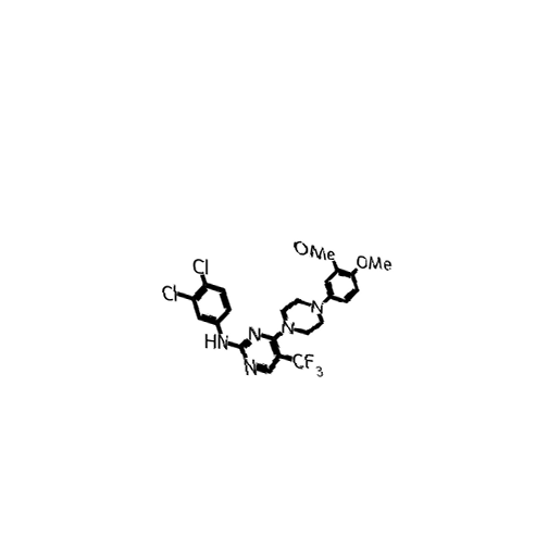 COc1ccc(N2CCN(c3nc(Nc4ccc(Cl)c(Cl)c4)ncc3C(F)(F)F)CC2)cc1OC